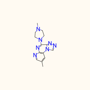 Cc1cnc2nc(N3CCN(C)CC3)c3nncn3c2c1